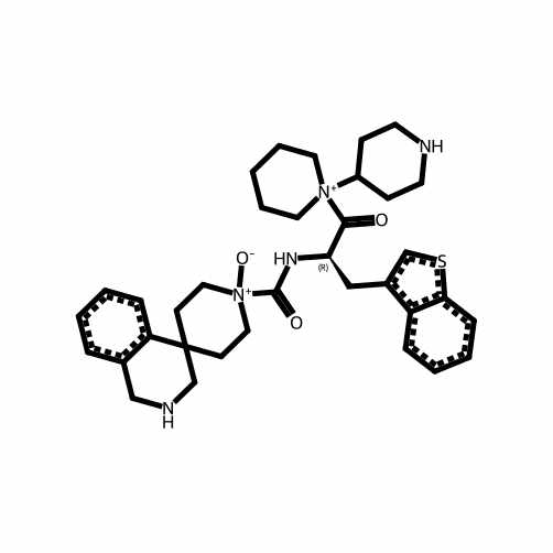 O=C(N[C@H](Cc1csc2ccccc12)C(=O)[N+]1(C2CCNCC2)CCCCC1)[N+]1([O-])CCC2(CC1)CNCc1ccccc12